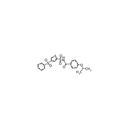 CC(C)Oc1ccc(C(=O)NS(=O)(=O)c2cc(S(=O)(=O)c3ccccc3)cs2)cc1